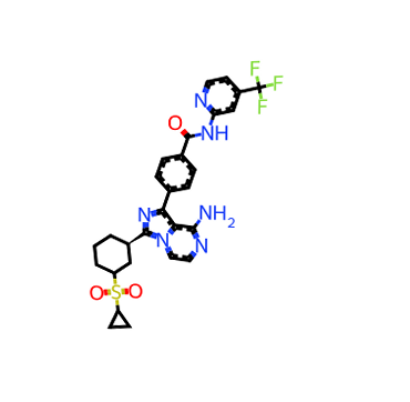 Nc1nccn2c([C@@H]3CCCC(S(=O)(=O)C4CC4)C3)nc(-c3ccc(C(=O)Nc4cc(C(F)(F)F)ccn4)cc3)c12